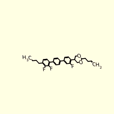 C=CCCC1OCC(c2ccc(-c3ccc(-c4ccc(CCCC)c(F)c4F)cc3)cc2F)CO1